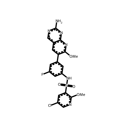 COc1nc2nc(N)ncc2cc1-c1cc(F)cc(NS(=O)(=O)c2cc(Cl)cnc2OC)c1